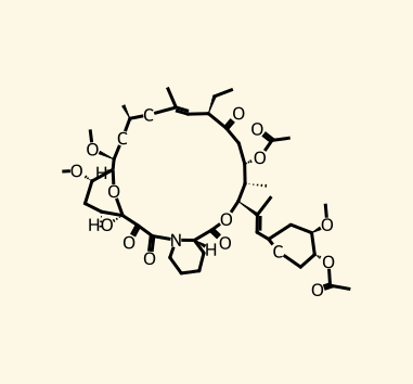 CC[C@@H]1/C=C(\C)C[C@H](C)C[C@H](OC)[C@H]2O[C@@](O)(C(=O)C(=O)N3CCCC[C@H]3C(=O)O[C@H](/C(C)=C/C3CC[C@@H](OC(C)=O)[C@H](OC)C3)[C@@H](C)[C@@H](OC(C)=O)CC1=O)[C@H](C)C[C@@H]2OC